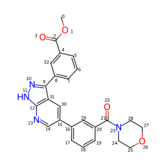 COC(=O)c1cccc(-c2n[nH]c3ncc(-c4cccc(C(=O)N5CCOCC5)c4)cc23)c1